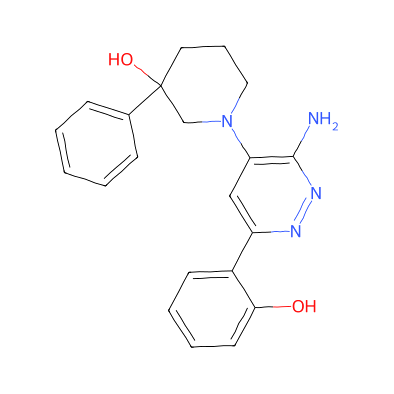 Nc1nnc(-c2ccccc2O)cc1N1CCCC(O)(c2ccccc2)C1